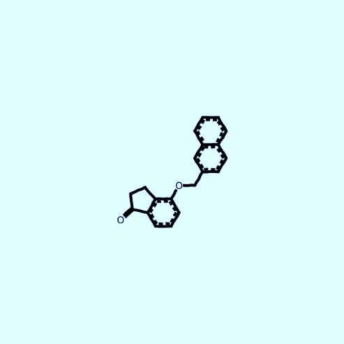 O=C1CCc2c(OCc3ccc4ccccc4c3)cccc21